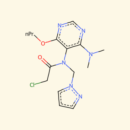 CCCOc1ncnc(N(C)C)c1N(Cn1cccn1)C(=O)CCl